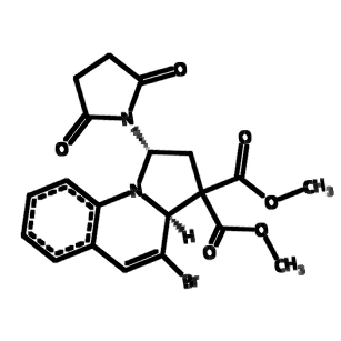 COC(=O)C1(C(=O)OC)C[C@@H](N2C(=O)CCC2=O)N2c3ccccc3C=C(Br)[C@@H]21